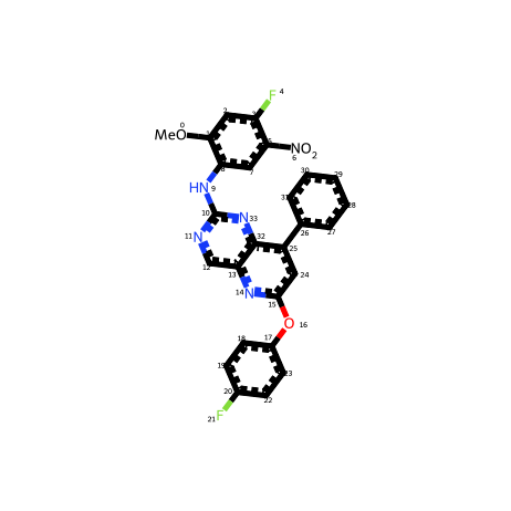 COc1cc(F)c([N+](=O)[O-])cc1Nc1ncc2nc(Oc3ccc(F)cc3)cc(-c3ccccc3)c2n1